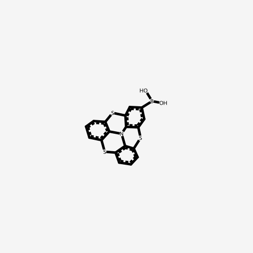 OB(O)c1cc2c3c(c1)Sc1cccc4c1N3c1c(cccc1S2)S4